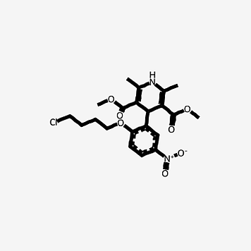 COC(=O)C1=C(C)NC(C)=C(C(=O)OC)C1c1cc([N+](=O)[O-])ccc1OCCCCCl